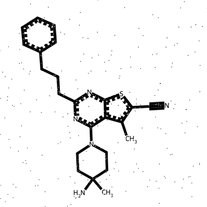 Cc1c(C#N)sc2nc(CCCc3ccccc3)nc(N3CCC(C)(N)CC3)c12